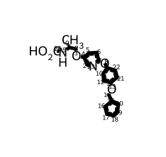 C[C@@H](COc1ccc(Oc2ccc(OCc3ccccc3)cc2)nc1)NC(=O)O